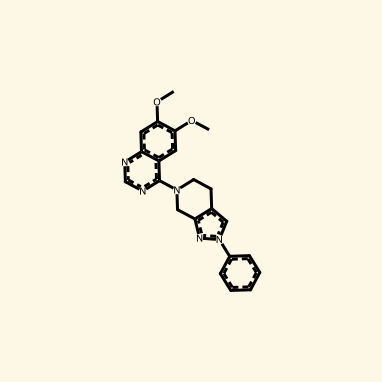 COc1cc2ncnc(N3CCc4cn(-c5ccccc5)nc4C3)c2cc1OC